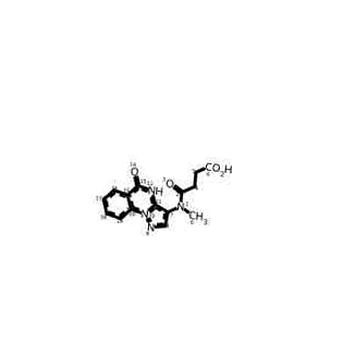 CN(C(=O)CCC(=O)O)c1cnn2c1[nH]c(=O)c1ccccc12